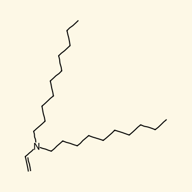 C=CN(CCCCCCCCCC)CCCCCCCCCC